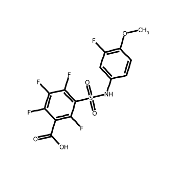 COc1ccc(NS(=O)(=O)c2c(F)c(F)c(F)c(C(=O)O)c2F)cc1F